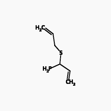 C=CCSC(P)C=C